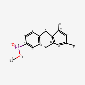 CCO[PH](=O)c1ccc(Cc2c(C)cc(C)cc2C)cc1